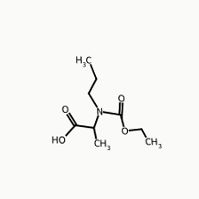 CCCN(C(=O)OCC)C(C)C(=O)O